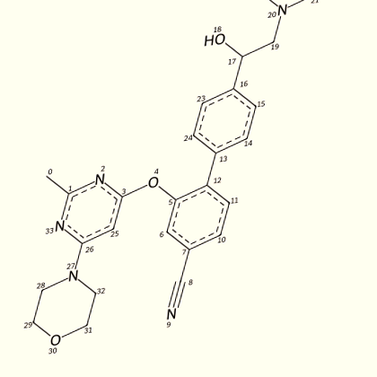 Cc1nc(Oc2cc(C#N)ccc2-c2ccc(C(O)CN(C)C)cc2)cc(N2CCOCC2)n1